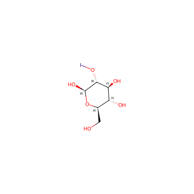 OC[C@H]1O[C@@H](O)[C@H](OI)[C@@H](O)[C@@H]1O